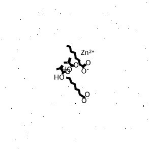 C=C(C)C(=O)O.C=C(C)C(=O)O.CCCCCCCC(=O)[O-].CCCCCCCC(=O)[O-].[Zn+2]